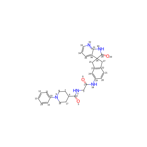 O=C(CNC(=O)C1CCN(c2ccccc2)CC1)Nc1ccc2c(c1)CC1(C2)C(=O)Nc2ncccc21